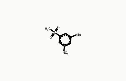 CC(C)(C)c1cc([N+](=O)[O-])cc(S(C)(=O)=O)c1